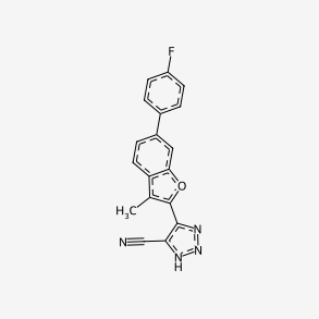 Cc1c(-c2nn[nH]c2C#N)oc2cc(-c3ccc(F)cc3)ccc12